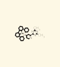 Cc1nc(C)nc(-c2cc([Si](c3ccccc3)(c3ccccc3)n3c4ccccc4c4ccccc43)ccn2)n1